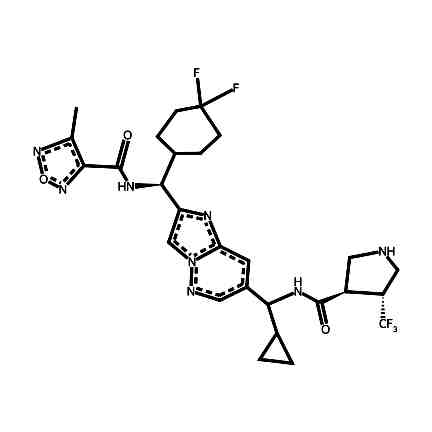 Cc1nonc1C(=O)N[C@H](c1cn2ncc(C(NC(=O)[C@H]3CNC[C@@H]3C(F)(F)F)C3CC3)cc2n1)C1CCC(F)(F)CC1